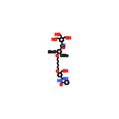 COc1cc(-c2cc(-c3cc(CO)c(CO)c(CO)c3)no2)cc(OC)c1OCCCCCCCOc1ccc(C2NC(=O)c3ccccc3N2)cc1CO